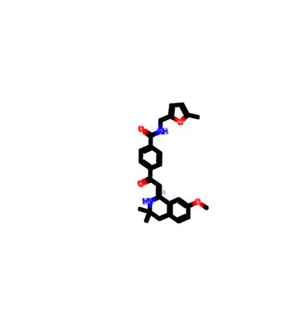 COc1ccc2c(c1)/C(=C/C(=O)c1ccc(C(=O)NCc3ccc(C)o3)cc1)NC(C)(C)C2